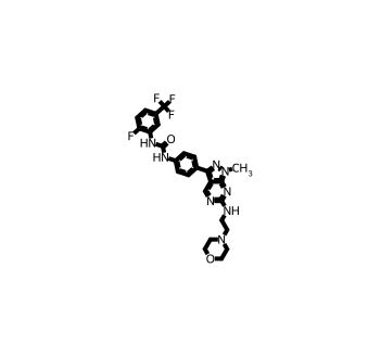 Cn1nc(-c2ccc(NC(=O)Nc3cc(C(F)(F)F)ccc3F)cc2)c2cnc(NCCN3CCOCC3)nc21